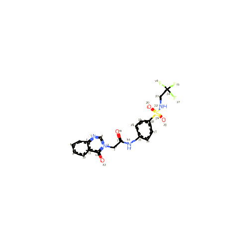 O=C(Cn1cnc2ccccc2c1=O)Nc1ccc(S(=O)(=O)NCC(F)(F)F)cc1